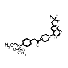 CCN(c1ccc(CC(=O)N2CCN(c3ncnc4sc(CC(F)(F)F)cc34)CC2)cc1)S(C)(=O)=O